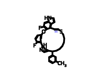 Cc1cccc(C2CCCCCCS/C=C/c3c(c(F)cc4[nH]ccc34)Oc3ccc(F)c(c3)-c3ncc2[nH]3)c1